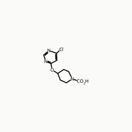 O=C(O)N1CCC(Oc2cc(Cl)ncn2)CC1